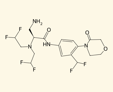 NC[C@@H](C(=O)Nc1ccc(N2CCOCC2=O)c(C(F)F)c1)N(CC(F)F)CC(F)F